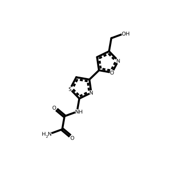 NC(=O)C(=O)Nc1nc(-c2cc(CO)no2)cs1